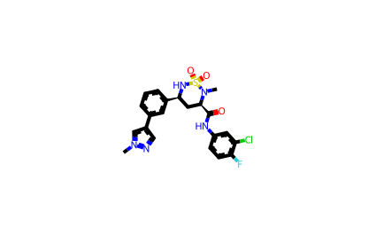 CN1[C@@H](C(=O)Nc2ccc(F)c(Cl)c2)C[C@@H](c2cccc(-c3cnn(C)c3)c2)NS1(=O)=O